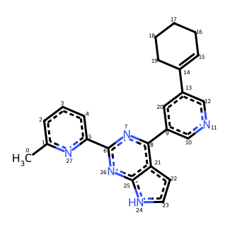 Cc1cccc(-c2nc(-c3cncc(C4=CCCCC4)c3)c3cc[nH]c3n2)n1